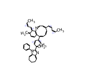 C=C(/C=C\C(=C/C)c1cccc(/C=C\C=C/C)ccnc2/c(=C/C=C\C)c(=C)ccc12)c1nc2c(n1-c1ccccc1)=CCCCC=2